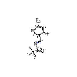 CC(C)(C)[S@+]([O-])/N=C/c1ccc(F)cc1F